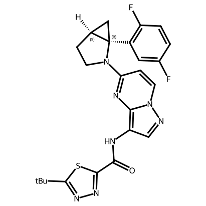 CC(C)(C)c1nnc(C(=O)Nc2cnn3ccc(N4CC[C@H]5C[C@]54c4cc(F)ccc4F)nc23)s1